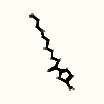 Cc1ccc(C(=O)OCCOCCOCCO)o1